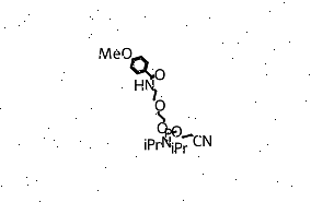 COc1ccc(C(=O)NCCOCCOP(OCCC#N)N(C(C)C)C(C)C)cc1